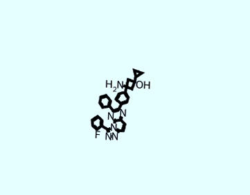 NC1(c2ccc(-c3nc4ccc5nnc(-c6ccccc6F)n5c4nc3-c3ccccc3)cc2)CC(O)(C2CC2)C1